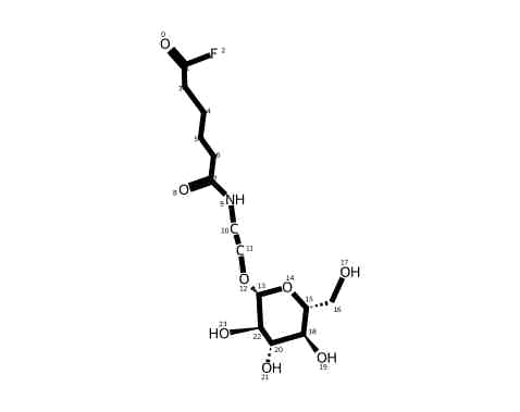 O=C(F)CCCCC(=O)NCCO[C@@H]1O[C@H](CO)[C@@H](O)[C@H](O)[C@H]1O